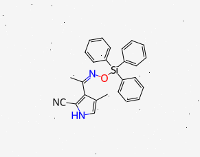 CC(=NO[Si](c1ccccc1)(c1ccccc1)c1ccccc1)c1c(C)c[nH]c1C#N